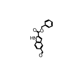 O=Cc1ccc2[nH]c(C(=O)OCc3ccccc3)cc2c1